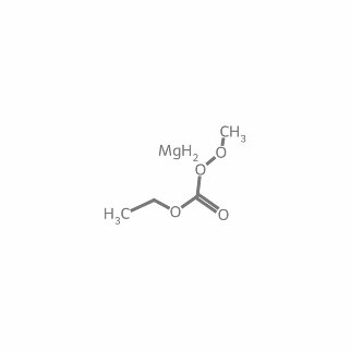 CCOC(=O)OOC.[MgH2]